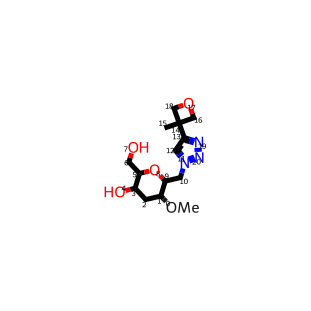 COC1CC(O)C(CO)OC1Cn1cc(C2(C)COC2)nn1